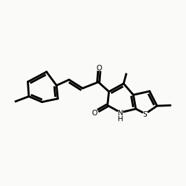 Cc1ccc(/C=C/C(=O)c2c(C)c3cc(C)sc3[nH]c2=O)cc1